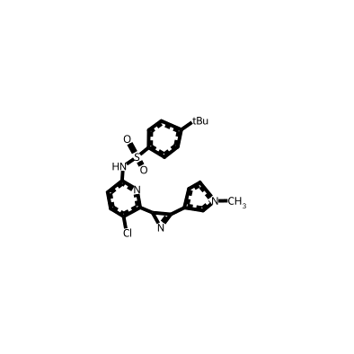 Cn1ccc(C2=NC2c2nc(NS(=O)(=O)c3ccc(C(C)(C)C)cc3)ccc2Cl)c1